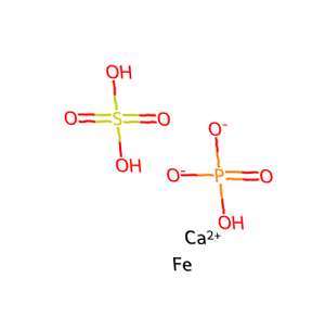 O=P([O-])([O-])O.O=S(=O)(O)O.[Ca+2].[Fe]